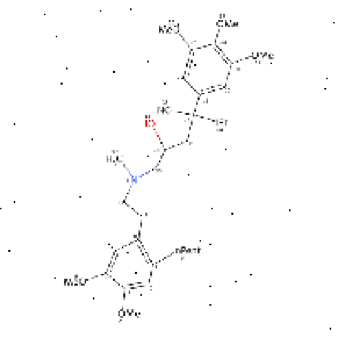 CCCCCc1cc(OC)c(OC)cc1CCN(C)CC(O)CC(C#N)(c1cc(OC)c(OC)c(OC)c1)C(C)C